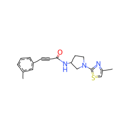 Cc1cccc(C#CC(=O)NC2CCN(c3nc(C)cs3)C2)c1